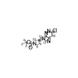 CC(C)(C)OC(=O)N1CC[C@H](Cn2cnc3cc(Cl)nnc32)C1